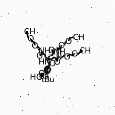 C#CCOCCOCCNC(=O)CCC(CCC(=O)NCCOCCOCC#C)(CCC(=O)NCCOCCOCC#C)NC(=O)C12CCC(OP(=O)(O)C(C)(C)C)(CC1)CC2